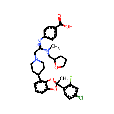 CN(CC1CCCO1)/C(CN1CCC(c2cccc3c2OC(C)(c2ccc(Cl)cc2F)O3)CC1)=N\c1ccc(C(=O)O)cc1